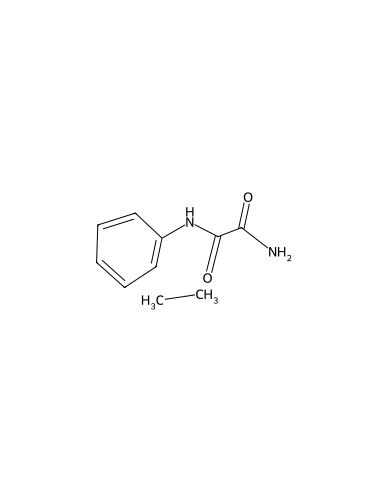 CC.NC(=O)C(=O)Nc1ccccc1